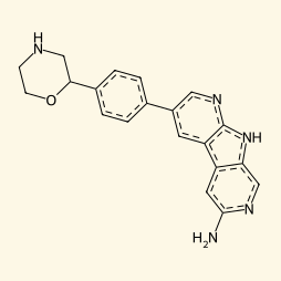 Nc1cc2c(cn1)[nH]c1ncc(-c3ccc(C4CNCCO4)cc3)cc12